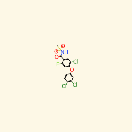 CS(=O)(=O)NC(=O)c1cc(Cl)c(Oc2ccc(Cl)c(Cl)c2)cc1F